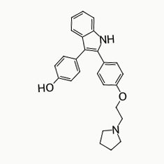 Oc1ccc(-c2c(-c3ccc(OCCN4CCCC4)cc3)[nH]c3ccccc23)cc1